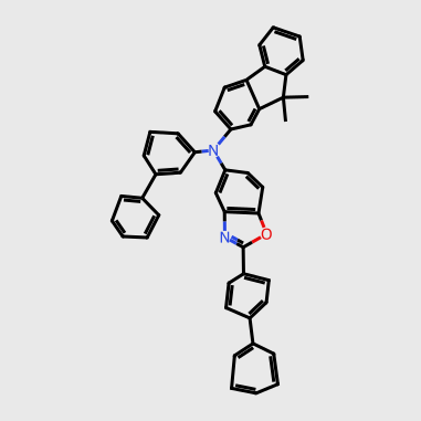 CC1(C)c2ccccc2-c2ccc(N(c3cccc(-c4ccccc4)c3)c3ccc4oc(-c5ccc(-c6ccccc6)cc5)nc4c3)cc21